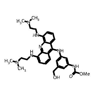 COC(=O)Nc1cc(CO)cc(Nc2c3cccc(NCCN(C)C)c3nc3c(NCCN(C)C)cccc23)c1